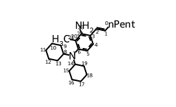 CCCCCC=Cc1ccc(N(C2CCCCC2)C2CCCCC2)c(C)c1N